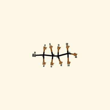 [CH2]CC(Br)(Br)C(Br)(Br)C(Br)(Br)C(Br)(Br)Br